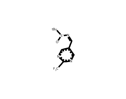 CC(C)(C)[S+]([O-])/N=C\c1cnc(C(F)(F)F)nc1